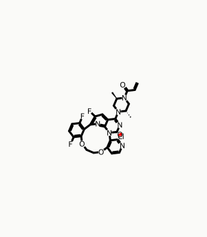 C=CC(=O)N1C[C@H](C)N(c2nc(=O)n3c4nc(c(F)cc24)-c2c(F)ccc(F)c2OCCOc2ccnc(Cl)c2-3)C[C@H]1C